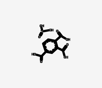 O=C(O)c1ccc(C(=O)O)c(C(=O)O)c1.[O]=[Ti]([OH])[OH]